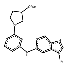 COC1CCN(c2nccc(Nc3cc4c(cn3)ncn4C(C)C)n2)C1